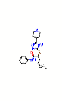 C=CCC(Sc1nnc(-c2ccncc2)[nH]1)C(=O)Nc1ccccc1